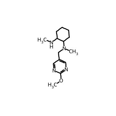 CNC1CCCCC1N(C)Cc1cnc(OC)nc1